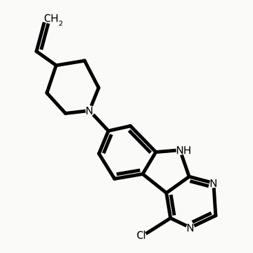 C=CC1CCN(c2ccc3c(c2)[nH]c2ncnc(Cl)c23)CC1